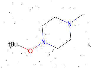 CN1CCN(OC(C)(C)C)CC1